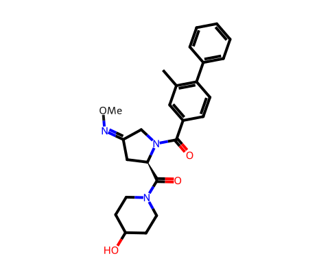 CON=C1C[C@H](C(=O)N2CCC(O)CC2)N(C(=O)c2ccc(-c3ccccc3)c(C)c2)C1